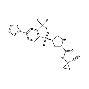 N#CC1(NC(=O)[C@@H]2C[C@@H](S(=O)(=O)c3ccc(-n4cccn4)cc3C(F)(F)F)CN2)CC1